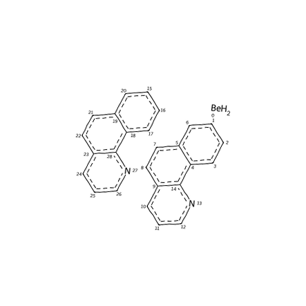 [BeH2].c1ccc2c(c1)ccc1cccnc12.c1ccc2c(c1)ccc1cccnc12